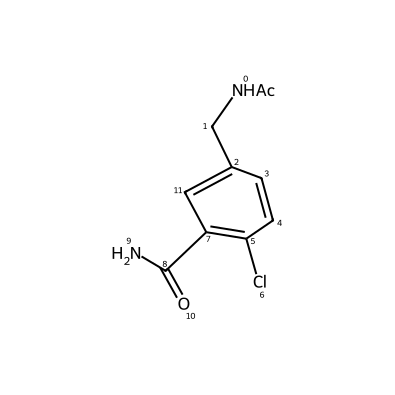 CC(=O)NCc1ccc(Cl)c(C(N)=O)c1